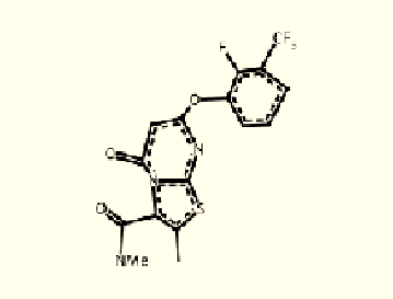 CNC(=O)c1c(C)sc2nc(Oc3cccc(C(F)(F)F)c3F)cc(=O)n12